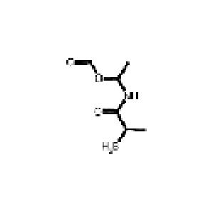 BC(C)C(=O)NC(C)OC=O